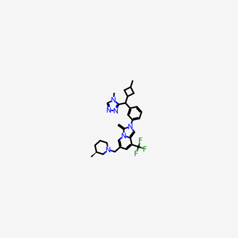 C=C1N2C=C(CN3CCC[C@H](C)C3)C=C(C(F)(F)F)C2=CN1c1cccc(C(c2nncn2C)C2CC(C)C2)c1